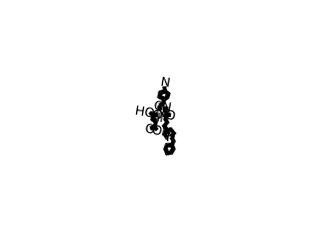 N#Cc1ccc(-c2nc(C(=O)NCCC3=CCN(Cc4ccccc4)CC3)no2)cc1.O=C(O)C=CC(=O)O